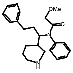 COCC(=O)N(c1ccccc1)C(CCc1ccccc1)C1CCCNC1